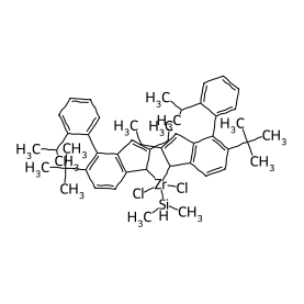 CCC1=Cc2c(ccc(C(C)(C)C)c2-c2ccccc2C(C)C)[CH]1[Zr]([Cl])([Cl])([CH]1C(CC)=Cc2c1ccc(C(C)(C)C)c2-c1ccccc1C(C)C)[SiH](C)C